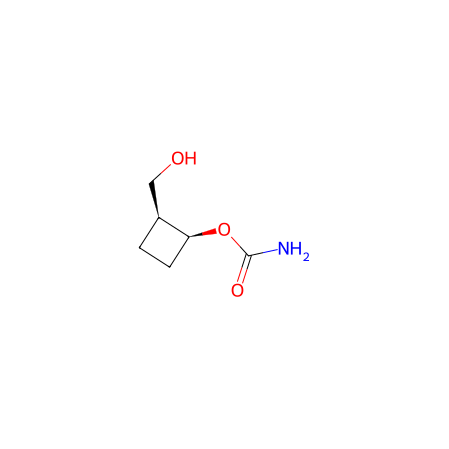 NC(=O)O[C@H]1CC[C@H]1CO